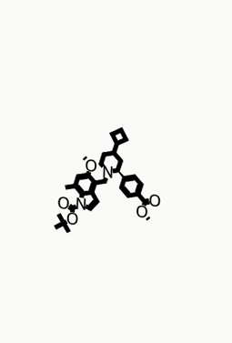 COC(=O)c1ccc([C@@H]2CC(C3CCC3)CCN2Cc2c(OC)cc(C)c3c2ccn3C(=O)OC(C)(C)C)cc1